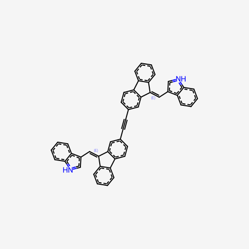 C(#Cc1ccc2c(c1)/C(=C/c1c[nH]c3ccccc13)c1ccccc1-2)c1ccc2c(c1)/C(=C/c1c[nH]c3ccccc13)c1ccccc1-2